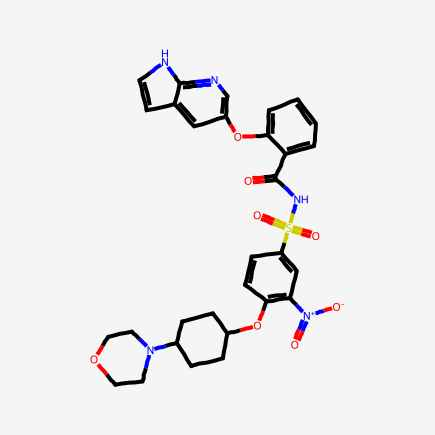 O=C(NS(=O)(=O)c1ccc(OC2CCC(N3CCOCC3)CC2)c([N+](=O)[O-])c1)c1ccccc1Oc1cnc2[nH]ccc2c1